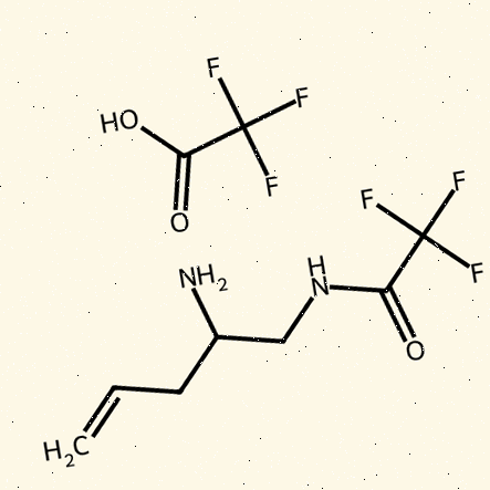 C=CCC(N)CNC(=O)C(F)(F)F.O=C(O)C(F)(F)F